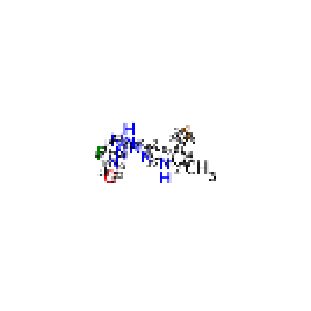 Cc1cc(Nc2ccc(/C=N/Nc3ncc(F)c(N4CCOCC4)n3)nc2)cc(C2CCSC2)c1